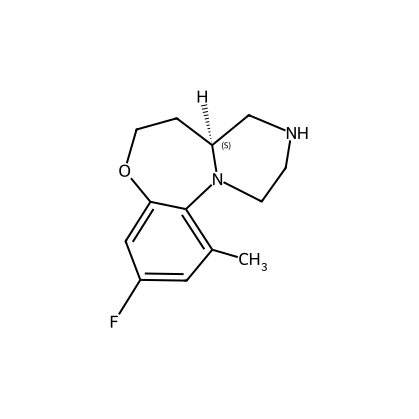 Cc1cc(F)cc2c1N1CCNC[C@@H]1CCO2